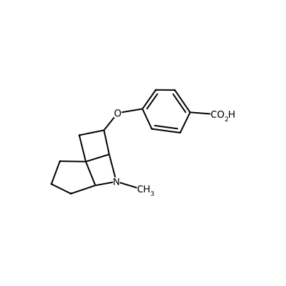 CN1C2CCCC23CC(Oc2ccc(C(=O)O)cc2)C13